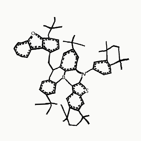 CC(C)(C)c1ccc2c(c1)B1c3c(cc(C(C)(C)C)cc3N(c3ccc4c(c3)C(C)(C)CCC4(C)C)c3sc4cc5c(cc4c31)C(C)(C)CCC5(C)C)C2Cc1ccc(C(C)(C)C)c2oc3ccccc3c12